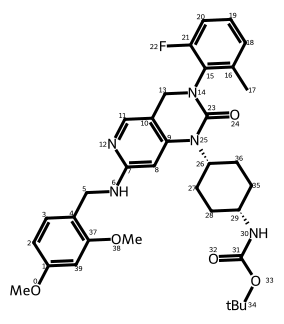 COc1ccc(CNc2cc3c(cn2)CN(c2c(C)cccc2F)C(=O)N3[C@H]2CC[C@@H](NC(=O)OC(C)(C)C)CC2)c(OC)c1